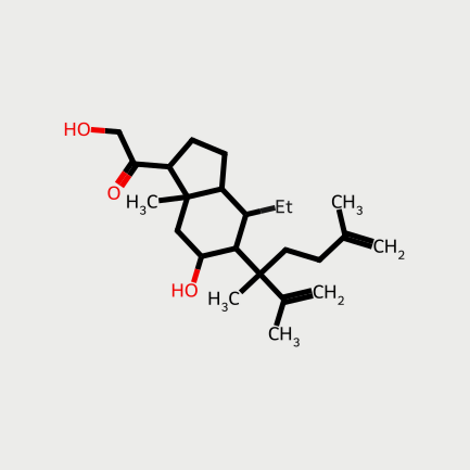 C=C(C)CCC(C)(C(=C)C)C1C(O)CC2(C)C(C(=O)CO)CCC2C1CC